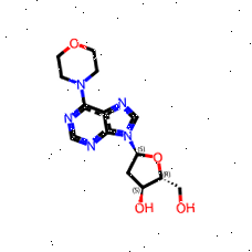 OC[C@H]1O[C@H](n2cnc3c(N4CCOCC4)ncnc32)C[C@@H]1O